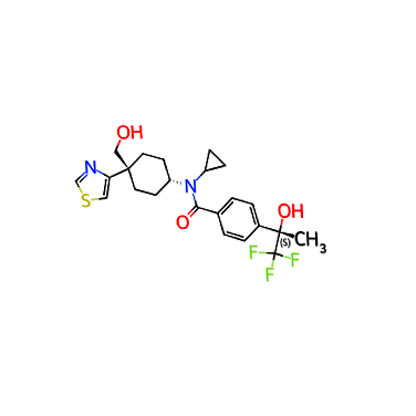 C[C@](O)(c1ccc(C(=O)N(C2CC2)[C@H]2CC[C@@](CO)(c3cscn3)CC2)cc1)C(F)(F)F